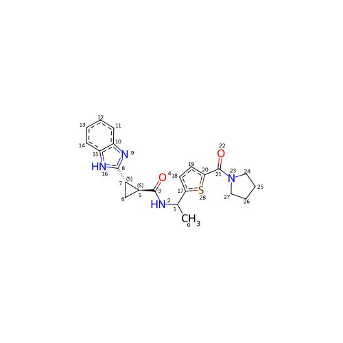 CC(NC(=O)[C@H]1C[C@@H]1c1nc2ccccc2[nH]1)c1ccc(C(=O)N2CCCC2)s1